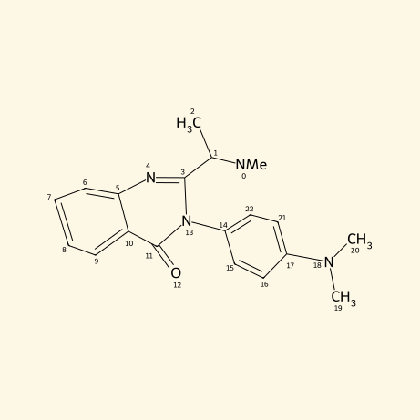 CNC(C)c1nc2ccccc2c(=O)n1-c1ccc(N(C)C)cc1